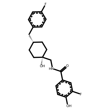 O=C(NC[C@]1(O)CC[C@@H](Cc2ccc(F)cc2)CC1)c1ccc(O)c(F)c1